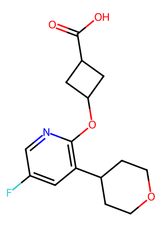 O=C(O)C1CC(Oc2ncc(F)cc2C2CCOCC2)C1